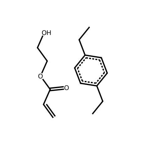 C=CC(=O)OCCO.CCc1ccc(CC)cc1